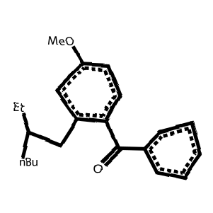 CCCCC(CC)Cc1cc(OC)ccc1C(=O)c1ccccc1